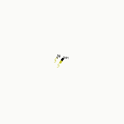 [S]=[InH].[S]=[Ni]